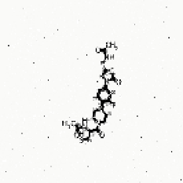 CC(=O)NC[C@H]1CN(c2ccc(N3CCN(C(=O)[C@@H](CS)NC(C)=O)CC3)c(F)c2)C(=O)O1